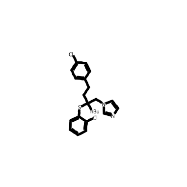 CCCCC(CCc1ccc(Cl)cc1)(Cn1ccnc1)Sc1ccccc1Cl